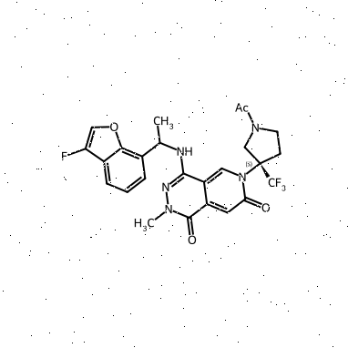 CC(=O)N1CC[C@@](n2cc3c(NC(C)c4cccc5c(F)coc45)nn(C)c(=O)c3cc2=O)(C(F)(F)F)C1